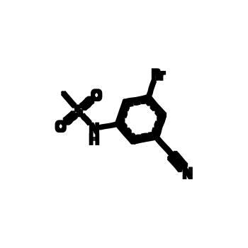 CS(=O)(=O)Nc1cc(Br)cc(C#N)c1